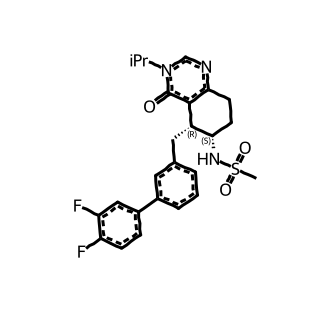 CC(C)n1cnc2c(c1=O)[C@@H](Cc1cccc(-c3ccc(F)c(F)c3)c1)[C@@H](NS(C)(=O)=O)CC2